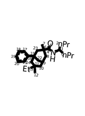 CCCC(CCC)NC(=O)C1(C)CC2CC(C)(CC)CC(c3ccccc3)(C2)C1